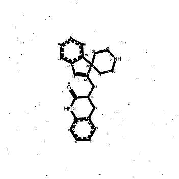 O=C1Nc2ccccc2CC1CC1=Cc2ccccc2C12CCNCC2